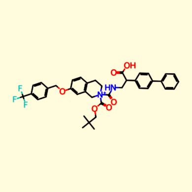 CC(C)(C)COC(=O)[N+]1(C(=O)NCC(C(=O)O)c2ccc(-c3ccccc3)cc2)CCc2ccc(OCc3ccc(C(F)(F)F)cc3)cc2C1